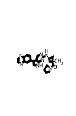 C[C@]1(C(=O)N2CCCC2)C[C@@H](Nc2ncc3c(-c4ccc5nccnc5c4)c[nH]c3n2)C1